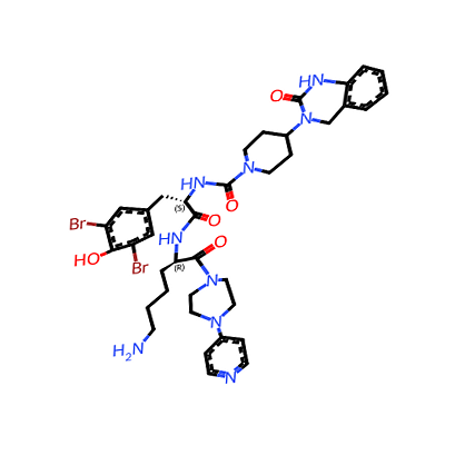 NCCCC[C@@H](NC(=O)[C@H](Cc1cc(Br)c(O)c(Br)c1)NC(=O)N1CCC(N2Cc3ccccc3NC2=O)CC1)C(=O)N1CCN(c2ccncc2)CC1